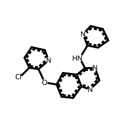 Clc1cccnc1Oc1ccc2ncnc(Nc3ccccn3)c2c1